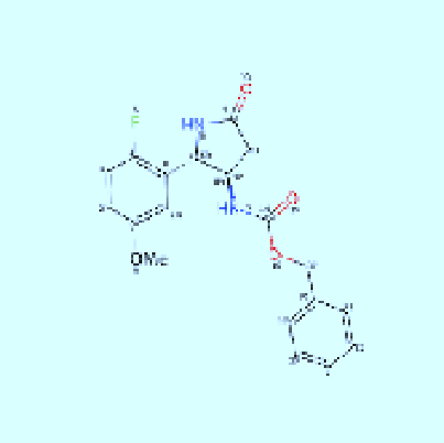 COc1ccc(F)c([C@@H]2NC(=O)C[C@H]2NC(=O)OCc2ccccc2)c1